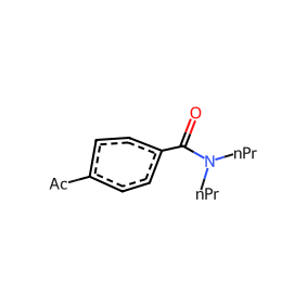 CCCN(CCC)C(=O)c1ccc(C(C)=O)cc1